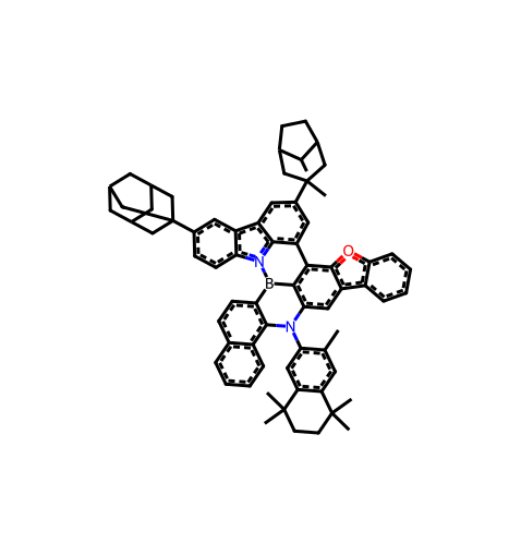 Cc1cc2c(cc1N1c3cc4c(oc5ccccc54)c4c3B(c3ccc5ccccc5c31)n1c3ccc(C56CC7CC(CC(C7)C5)C6)cc3c3cc(C5(C)CC6CCC(C5)C6C)cc-4c31)C(C)(C)CCC2(C)C